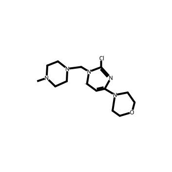 CN1CCN(CN2[CH]C=C(N3CCOCC3)N=C2Cl)CC1